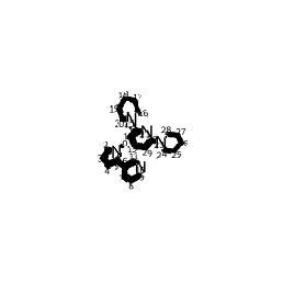 Cn1cccc1-c1cccnc1.c1cc(N2CCCCC2)nc(N2CCCCC2)c1